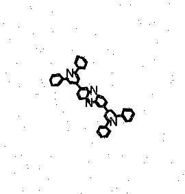 C1=CC(c2cc(-c3ccc4nc5cc(C6C=C(c7ccccc7)N=C(c7ccccc7)C6)ccc5nc4c3)cc(-c3ccccc3)n2)=CCC1